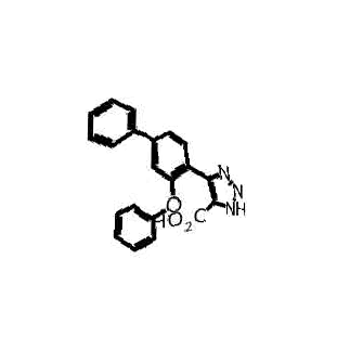 O=C(O)c1[nH]nnc1-c1ccc(-c2ccccc2)cc1Oc1ccccc1